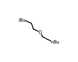 CCCCCOCCC(C)CC